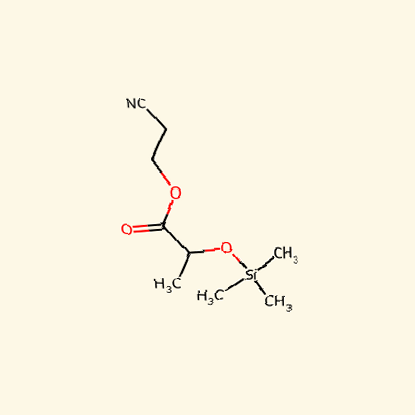 CC(O[Si](C)(C)C)C(=O)OCCC#N